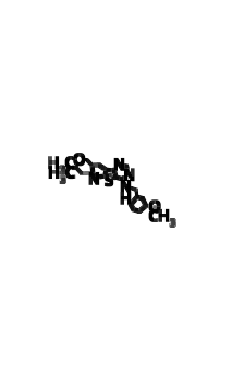 COc1cccc(CNc2ncnc3c2sc2nc4c(cc23)COC(C)(C)C4)c1